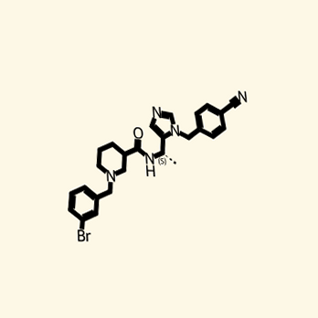 C[C@H](NC(=O)C1CCCN(Cc2cccc(Br)c2)C1)c1cncn1Cc1ccc(C#N)cc1